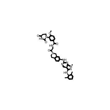 COc1ccc(C(=O)NCC(=O)N2CCc3ccc(Nc4ncc5c(Nc6c(C)cccc6C)nn(C)c5n4)cc3C2)cc1N1CCC(=O)NC1=O